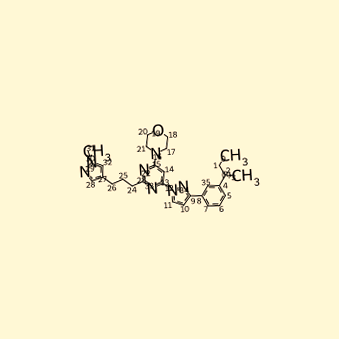 CC[C@@H](C)c1cccc(-c2ccn(-c3cc(N4CCOCC4)nc(CCCc4cnn(C)c4)n3)n2)c1